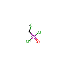 O=P(Cl)(Cl)CCl